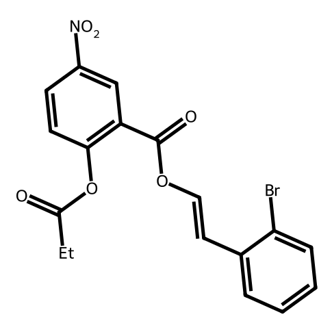 CCC(=O)Oc1ccc([N+](=O)[O-])cc1C(=O)OC=Cc1ccccc1Br